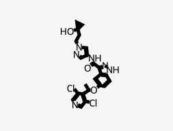 CC(Oc1ccc2[nH]nc(C(=O)Nc3cnn(CCC4(O)CC4)c3)c2c1)c1c(Cl)cncc1Cl